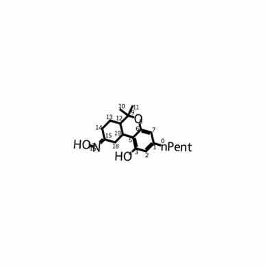 CCCCCc1cc(O)c2c(c1)OC(C)(C)C1CCC(=NO)CC21